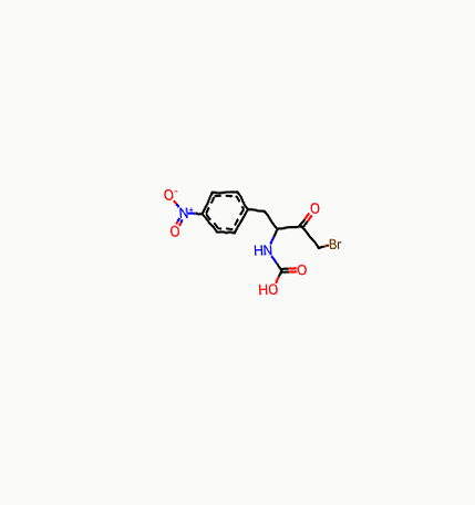 O=C(O)NC(Cc1ccc([N+](=O)[O-])cc1)C(=O)CBr